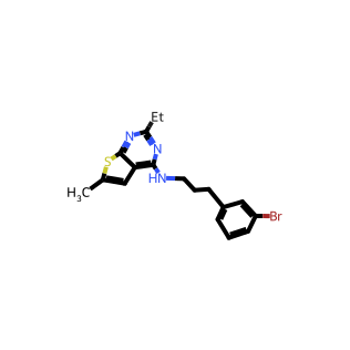 CCc1nc(NCCCc2cccc(Br)c2)c2cc(C)sc2n1